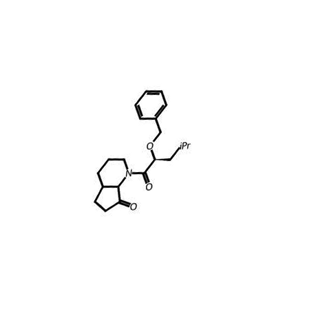 CC(C)C[C@H](OCc1ccccc1)C(=O)N1CCCC2CCC(=O)C21